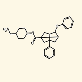 NCC1CCC(=NC(=O)C23CC4C(Oc5ccccc5)C2CC4(c2ccccc2)C3)CC1